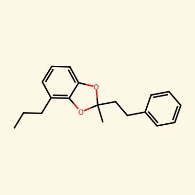 CCCc1cccc2c1OC(C)(CCc1ccccc1)O2